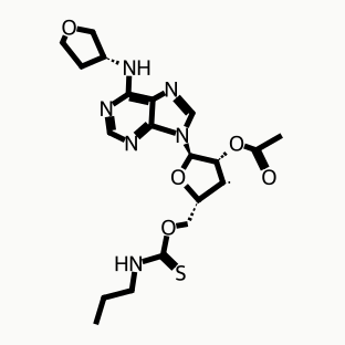 CCCNC(=S)OC[C@H]1[CH][C@@H](OC(C)=O)[C@H](n2cnc3c(N[C@@H]4CCOC4)ncnc32)O1